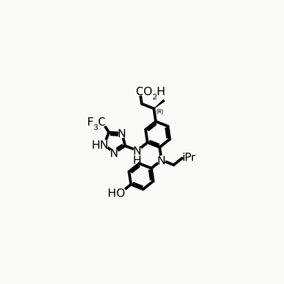 CC(C)CN(c1ccc(O)cc1)c1ccc([C@H](C)CC(=O)O)cc1Nc1n[nH]c(C(F)(F)F)n1